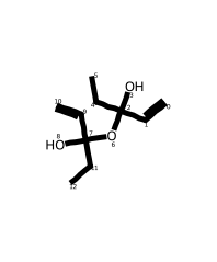 C=CC(O)(CC)OC(O)(C=C)CC